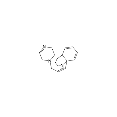 C1=CC23C=CCN4CC=NCC4C2(C=C1)CCCN3